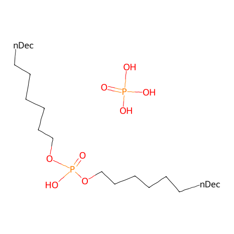 CCCCCCCCCCCCCCCCOP(=O)(O)OCCCCCCCCCCCCCCCC.O=P(O)(O)O